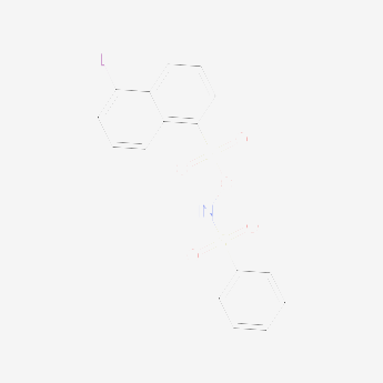 O=S(=O)(NOS(=O)(=O)c1cccc2c(I)cccc12)c1ccccc1